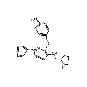 Nc1ccc(Oc2nc(-c3cccnc3)ncc2NC[C@@H]2CCCN2)cc1